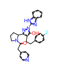 O=C(Cc1ccncc1)N1CCCC1c1nn(-c2nc3ccccc3[nH]2)c(O)c1CCc1ccc(F)cc1